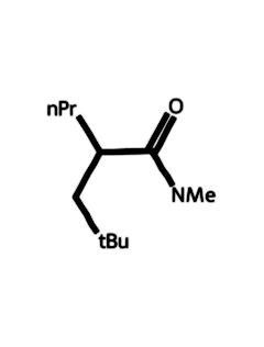 CCCC(CC(C)(C)C)C(=O)NC